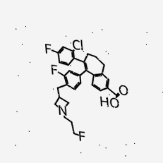 O=C(O)c1ccc2c(c1)CCCC(c1ccc(F)cc1Cl)=C2c1ccc(CC2CN(CCCF)C2)c(F)c1